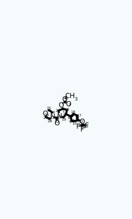 COC(=O)OC1CC(c2ccc(OC(F)(F)F)cc2)CN(C(=O)N2CCOCC2)C1